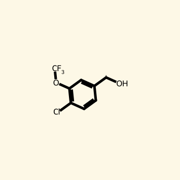 O[CH]c1ccc(Cl)c(OC(F)(F)F)c1